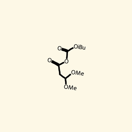 COC(CC(=O)OC(=O)OCC(C)C)OC